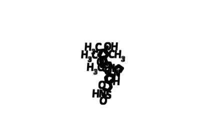 Cc1c(C)c2c(c(C)c1O)C(CC(Oc1ccc(CC3SC(=O)NC3=O)cc1)[C@@H]1CCCN1)C(C)(C)O2